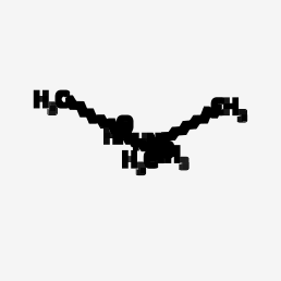 CCCCCCCCCCCC(=O)NCCCC[C@H](NC(=O)CCCCCCCCCCC)C(C)C